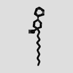 CCCCCCCCCCC1(O)C=CC(c2ccccc2)C=C1